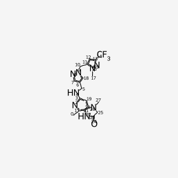 Cc1nc(NCc2cnn(Cc3cc(C(F)(F)F)nn3C)c2)cc2c1NC(=O)CN2C